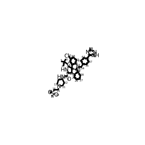 CC(C)(C)C[C@@H]1N[C@@H](C(=O)NC2CCN(CCS(C)(=O)=O)CC2)[C@H](c2ccccc2Cl)[C@]12CN(Cc1ccc(-c3nnn[nH]3)cc1)c1ccc(Cl)cc12